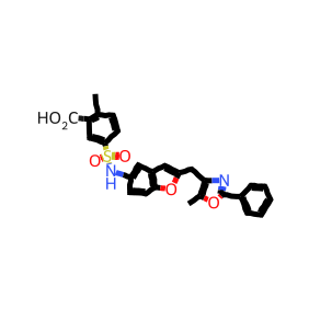 Cc1ccc(S(=O)(=O)Nc2ccc3oc(Cc4nc(-c5ccccc5)oc4C)cc3c2)cc1C(=O)O